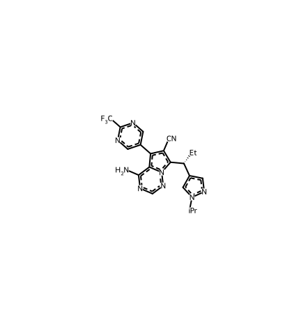 CC[C@H](c1cnn(C(C)C)c1)c1c(C#N)c(-c2cnc(C(F)(F)F)nc2)c2c(N)ncnn12